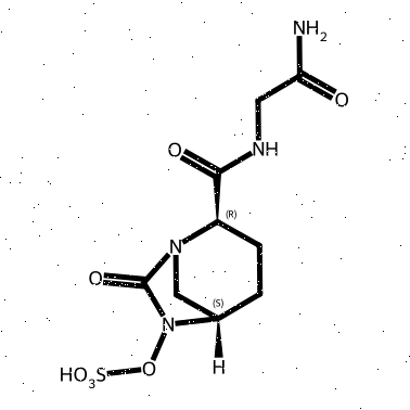 NC(=O)CNC(=O)[C@H]1CC[C@H]2CN1C(=O)N2OS(=O)(=O)O